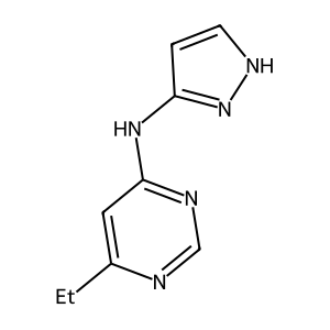 CCc1cc(Nc2cc[nH]n2)ncn1